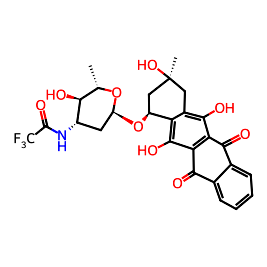 C[C@@H]1O[C@@H](O[C@H]2C[C@@](C)(O)Cc3c(O)c4c(c(O)c32)C(=O)c2ccccc2C4=O)C[C@H](NC(=O)C(F)(F)F)[C@H]1O